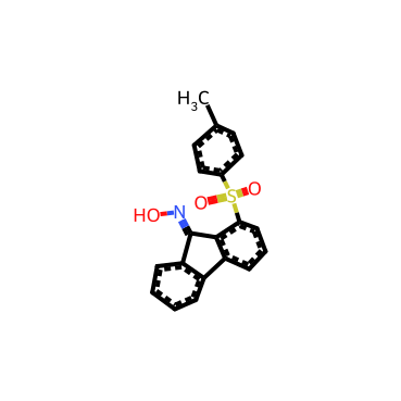 Cc1ccc(S(=O)(=O)c2cccc3c2/C(=N/O)c2ccccc2-3)cc1